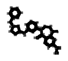 CCNc1ncc2c(n1)N(C)CCN(c1cccc(OC3CCN(Cc4ccccc4)C3)c1)C2=O